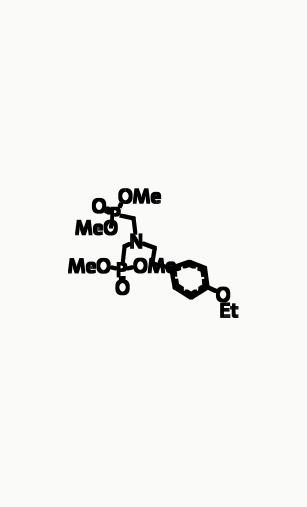 CCOc1ccc(CCN(CP(=O)(OC)OC)CP(=O)(OC)OC)cc1